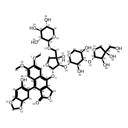 COc1cc2c(O[C@@H]3OC[C@](O)(CO[C@@H]4OC[C@@H](O)[C@H](O)[C@H]4O)[C@H]3O[C@@H]3OC[C@@H](O)[C@H](O[C@@H]4OC[C@](O)(CO)[C@H]4O)[C@H]3O)c3c(c(C4=C(O)C=C5OCOC5C4)c2cc1OC)C(=O)OC3